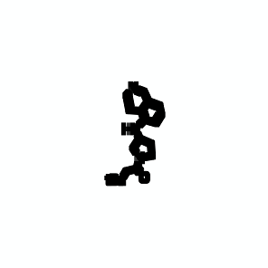 CC(C)(C)CC(=O)N1CCC(Nc2cccc3cnccc23)C1